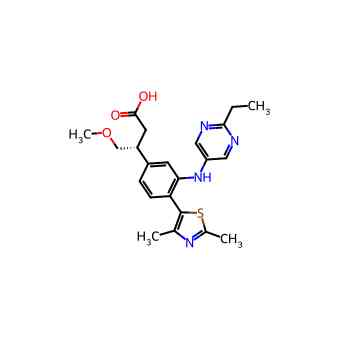 CCc1ncc(Nc2cc([C@H](COC)CC(=O)O)ccc2-c2sc(C)nc2C)cn1